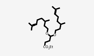 CCOC(=O)CCC(OCCC(C)CCC=C(C)C)OCCC(C)CCC=C(C)C